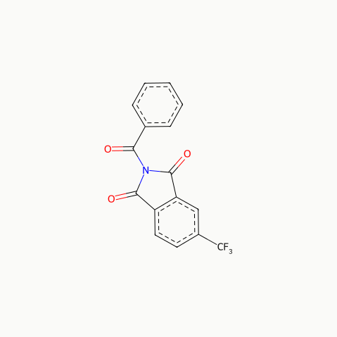 O=C(c1ccccc1)N1C(=O)c2ccc(C(F)(F)F)cc2C1=O